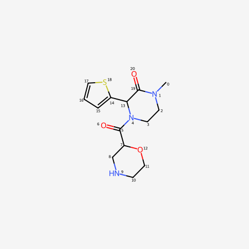 CN1CCN(C(=O)C2CNCCO2)C(c2cccs2)C1=O